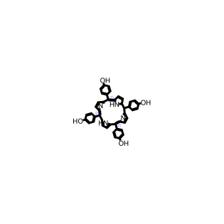 Oc1ccc(/C2=C3\C=CC(N3)C(c3ccc(O)cc3)C3=N/C(=C(/c4ccc(O)cc4)c4ccc([nH]4)/C(c4ccc(O)cc4)=C4/C=CC2=N4)C=C3)cc1